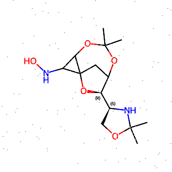 CC1(C)N[C@H]([C@H]2OC34CC2OC(C)(C)OC3C4NO)CO1